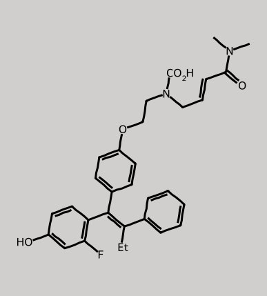 CC/C(=C(/c1ccc(OCCN(C/C=C/C(=O)N(C)C)C(=O)O)cc1)c1ccc(O)cc1F)c1ccccc1